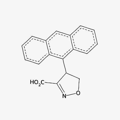 O=C(O)C1=NOCC1c1c2ccccc2cc2ccccc12